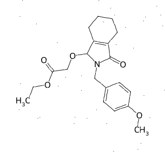 CCOC(=O)COC1C2=C(CCCC2)C(=O)N1Cc1ccc(OC)cc1